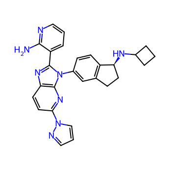 Nc1ncccc1-c1nc2ccc(-n3cccn3)nc2n1-c1ccc2c(c1)CC[C@@H]2NC1CCC1